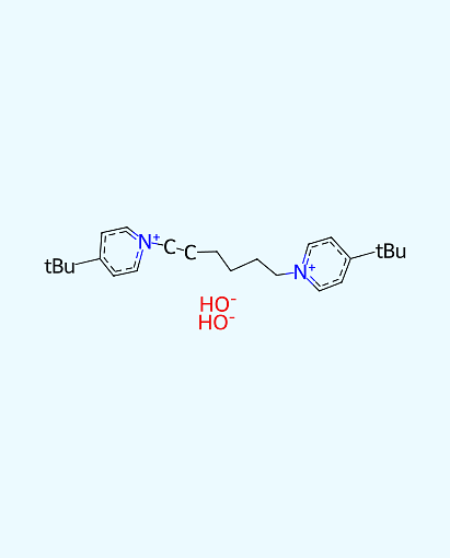 CC(C)(C)c1cc[n+](CCCCCC[n+]2ccc(C(C)(C)C)cc2)cc1.[OH-].[OH-]